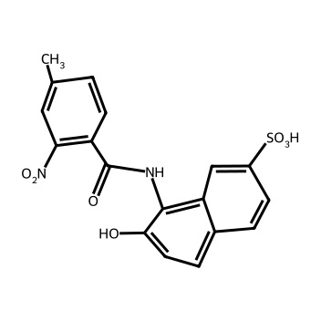 Cc1ccc(C(=O)Nc2c(O)ccc3ccc(S(=O)(=O)O)cc23)c([N+](=O)[O-])c1